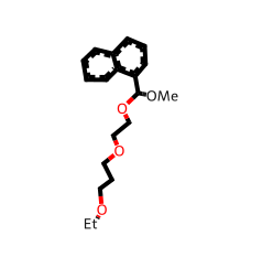 CCOCCCOCCOC(OC)c1cccc2ccccc12